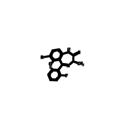 CC1N=C(c2c(F)cccc2F)c2c(ccc(Br)c2Cl)NC1=S